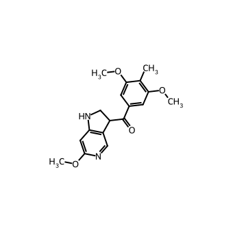 COc1cc2c(cn1)C(C(=O)c1cc(OC)c(C)c(OC)c1)CN2